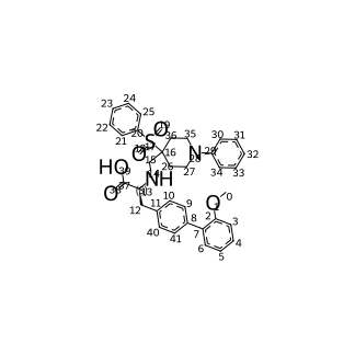 COc1ccccc1-c1ccc(C[C@H](NCC2(S(=O)(=O)c3ccccc3)CCN(c3ccccc3)CC2)C(=O)O)cc1